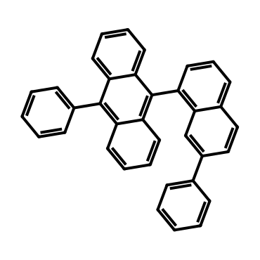 c1ccc(-c2ccc3cccc(-c4c5ccccc5c(-c5ccccc5)c5ccccc45)c3c2)cc1